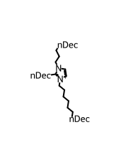 CCCCCCCCCCCCCCCC[n+]1ccn(CCCCCCCCCCCCC)c1CCCCCCCCCC